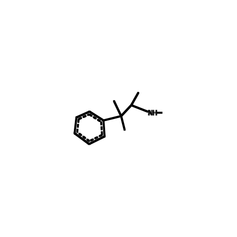 CNC(C)C(C)(C)c1ccccc1